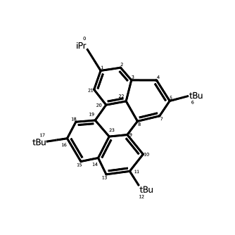 CC(C)c1cc2cc(C(C)(C)C)cc3c4cc(C(C)(C)C)cc5cc(C(C)(C)C)cc(c(c1)c23)c54